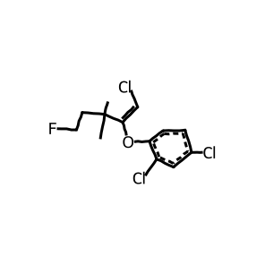 CC(C)(CCF)C(=CCl)Oc1ccc(Cl)cc1Cl